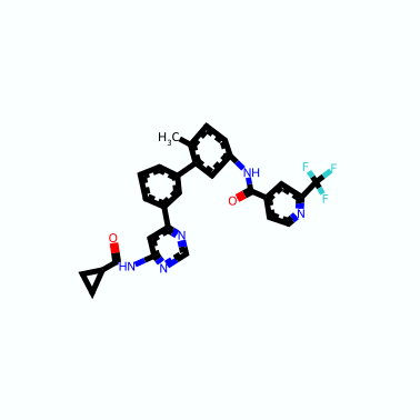 Cc1ccc(NC(=O)c2ccnc(C(F)(F)F)c2)cc1-c1cccc(-c2cc(NC(=O)C3CC3)ncn2)c1